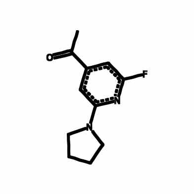 CC(=O)c1cc(F)nc(N2CCCC2)c1